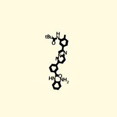 Cc1ccc(-c2cn3nc(-c4cccc(C(=O)Nc5ccccc5N)c4)ccc3n2)cc1NC(=O)C(C)(C)C